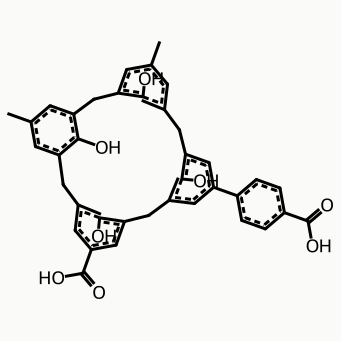 Cc1cc2c(O)c(c1)Cc1cc(C(=O)O)cc(c1O)Cc1cc(-c3ccc(C(=O)O)cc3)cc(c1O)Cc1cc(C)cc(c1O)C2